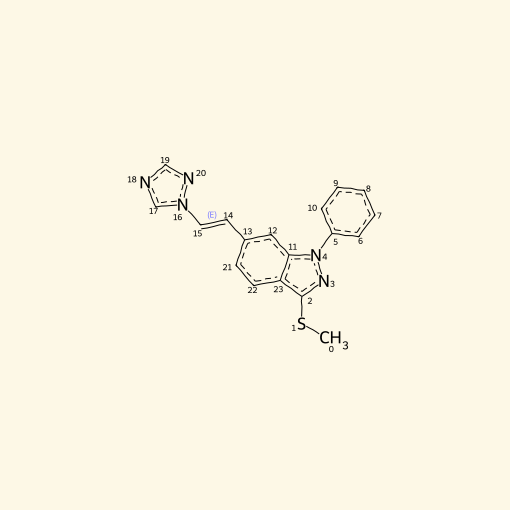 CSc1nn(-c2ccccc2)c2cc(/C=C/n3cncn3)ccc12